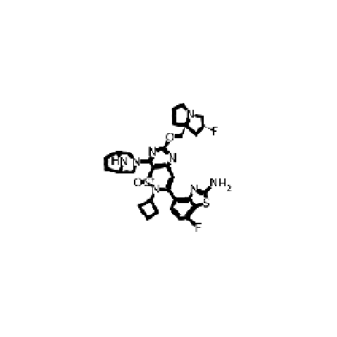 Nc1nc2c(C3=Cc4nc(OC[C@@]56CCCN5C[C@H](F)C6)nc(N5CC6CCC(C5)N6)c4[S+]([O-])N3C3CCC3)ccc(F)c2s1